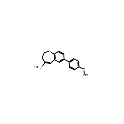 CCCOc1ccc(-c2ccc3c(c2)C=C(C(=O)OCC)CCS3)cc1